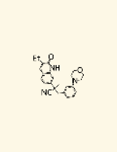 CCc1cc2ccc(C(C)(C#N)Cc3cccc(N4CCOCC4)c3)cc2[nH]c1=O